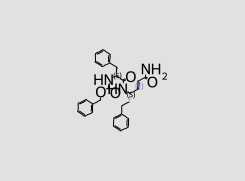 NC(=O)/C=C/[C@H](CCc1ccccc1)NC(=O)[C@H](Cc1ccccc1)NC(=O)OCc1ccccc1